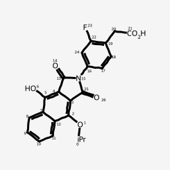 CC(C)Oc1c2c(c(O)c3ccccc13)C(=O)N(c1ccc(CC(=O)O)c(F)c1)C2=O